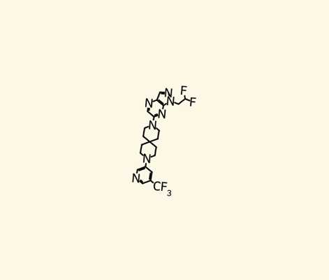 FC(F)Cn1ncc2ncc(N3CCC4(CCN(c5cncc(C(F)(F)F)c5)CC4)CC3)nc21